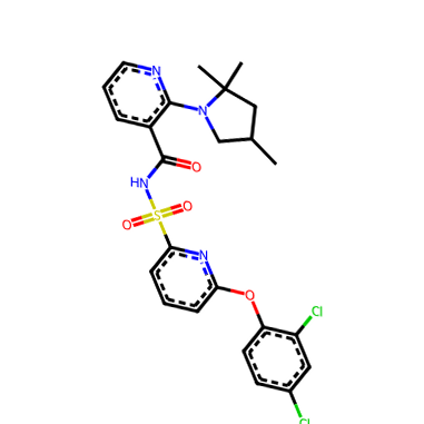 CC1CN(c2ncccc2C(=O)NS(=O)(=O)c2cccc(Oc3ccc(Cl)cc3Cl)n2)C(C)(C)C1